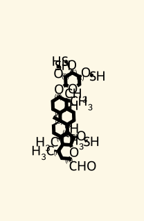 C[C@@H]1C[C@H](C=O)OC2C1[C@@]1(C)CC[C@@]34C[C@@]35CC[C@H](OC3OC[C@@H](OS)[C@H](OS)[C@H]3OS)C(C)(C)[C@@H]5CC[C@H]4[C@]1(C)[C@H]2OS